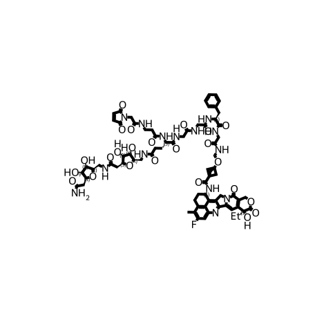 CC[C@@]1(O)C(=O)OCc2c1cc1n(c2=O)Cc2c-1nc1cc(F)c(C)c3c1c2[C@@H](NC(=O)C12CC(OCNC(=O)CNC(=O)[C@H](Cc4ccccc4)NC(=O)CNC(=O)CNC(=O)[C@H](CCC(=O)NC[C@H]4O[C@@H](CC(=O)NC[C@H]5O[C@@H](CC(N)=O)[C@H](O)[C@@H]5O)[C@H](O)[C@@H]4O)NC(=O)CCNC(=O)CN4C(=O)C=CC4=O)(C1)C2)CC3